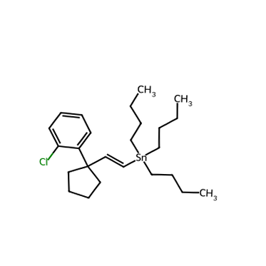 CCC[CH2][Sn]([CH]=CC1(c2ccccc2Cl)CCCC1)([CH2]CCC)[CH2]CCC